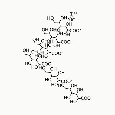 O=C([O-])C(O)C(O)C(O)C(O)CO.O=C([O-])C(O)C(O)C(O)C(O)CO.O=C([O-])C(O)C(O)C(O)C(O)CO.O=C([O-])C(O)C(O)C(O)C(O)CO.O=C([O-])C(O)C(O)C(O)C(O)CO.O=C([O-])C(O)C(O)C(O)C(O)CO.[K+].[Na+].[Ti+4]